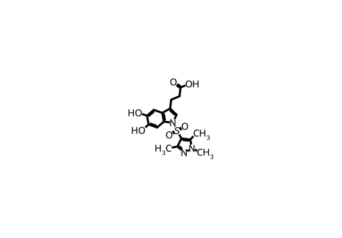 Cc1nn(C)c(C)c1S(=O)(=O)n1cc(CCC(=O)O)c2cc(O)c(O)cc21